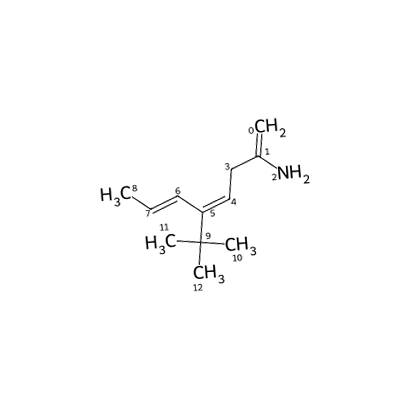 C=C(N)C/C=C(\C=C\C)C(C)(C)C